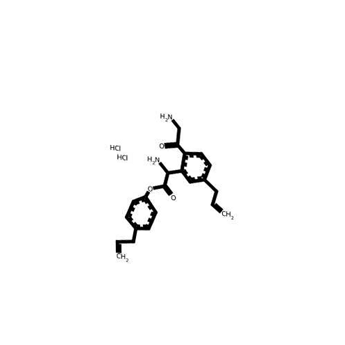 C=CCc1ccc(OC(=O)C(N)c2cc(CC=C)ccc2C(=O)CN)cc1.Cl.Cl